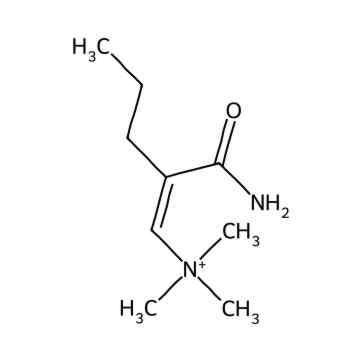 CCCC(=C[N+](C)(C)C)C(N)=O